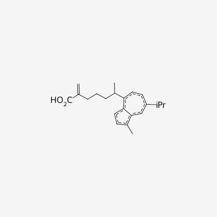 C=C(CCCC(C)c1ccc(C(C)C)cc2c(C)ccc1-2)C(=O)O